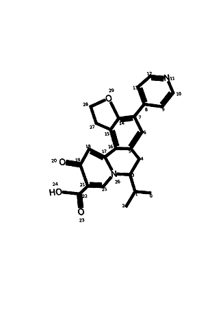 CC(C)C1Cc2cc(-c3ccncc3)c3c(c2-c2cc(=O)c(C(=O)O)cn21)CCO3